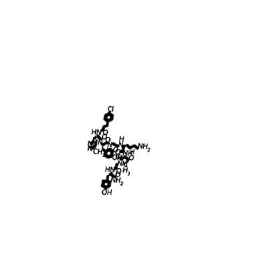 Cc1cn(C[C@@H](NC(=O)CCc2ccc(Cl)cc2)C(=O)N[C@@H](Cc2ccc(O)cc2)C(=O)NCC(=O)N[C@@H](CCCCN)C(=O)NC(C(=O)NCC(=O)N[C@H](Cc2ccc(O)cc2)C(N)=O)C(C)O)nn1